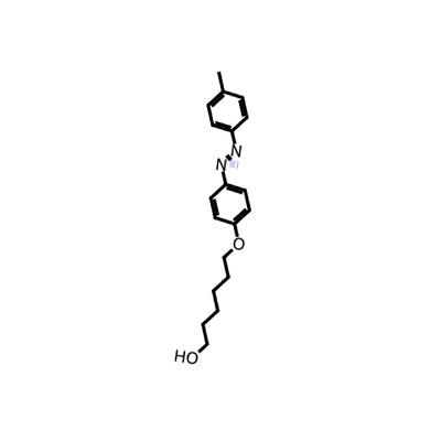 Cc1ccc(/N=N/c2ccc(OCCCCCCO)cc2)cc1